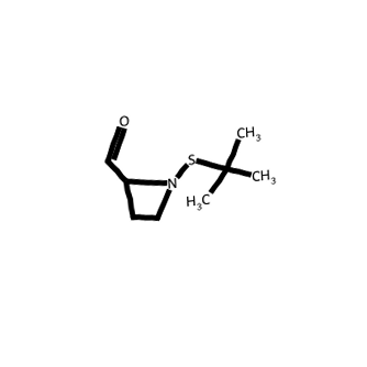 CC(C)(C)SN1CCC1C=O